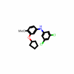 COc1ccc(Nc2cc(Cl)cc(Cl)c2)cc1OC1CCCC1